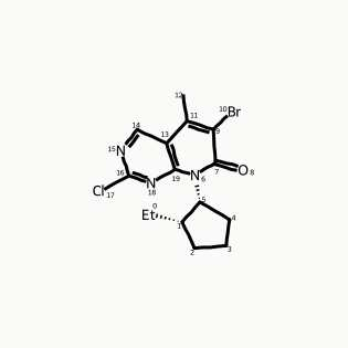 CC[C@H]1CCC[C@H]1n1c(=O)c(Br)c(C)c2cnc(Cl)nc21